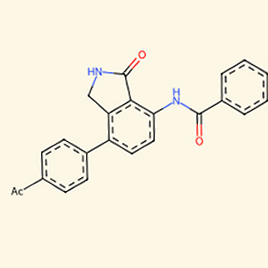 CC(=O)c1ccc(-c2ccc(NC(=O)c3ccccc3)c3c2CNC3=O)cc1